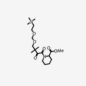 COC(=O)C1CCCCN1C(=O)C(=O)C(C)(C)COCOCC[Si](C)(C)C